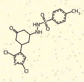 Cc1ccc(S(=O)(=O)NNC2CC(=O)CC(c3cc(Cl)sc3Cl)C2)cc1